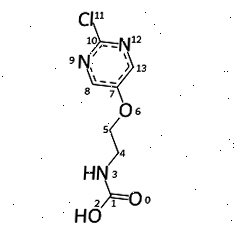 O=C(O)NCCOc1cnc(Cl)nc1